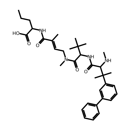 CCCC(NC(=O)/C(C)=C/CN(C)C(=O)C(NC(=O)C(NC)C(C)(C)c1cccc(-c2ccccc2)c1)C(C)(C)C)C(=O)O